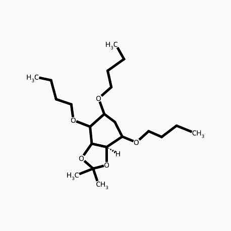 CCCCOC1CC(OCCCC)[C@H]2OC(C)(C)OC2C1OCCCC